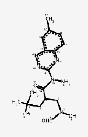 CCCC(C)(C)CC(CN(O)C=O)C(=O)N(N)c1nnc2cc(C)ccc2n1